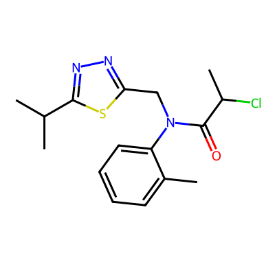 Cc1ccccc1N(Cc1nnc(C(C)C)s1)C(=O)C(C)Cl